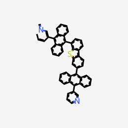 C=N/C=C(\C=C/C)c1c2ccccc2c(-c2cccc3c2sc2cc(-c4c5ccccc5c(-c5cccnc5)c5ccccc45)ccc23)c2ccccc12